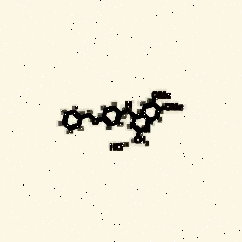 COc1cc2nc(C)nc(Nc3ccc(OCc4ccccc4)cc3)c2cc1OC.Cl